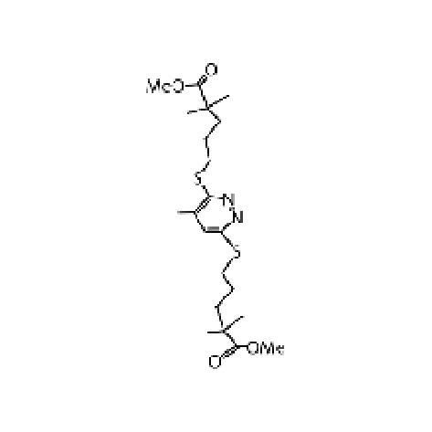 COC(=O)C(C)(C)CCCSc1cc(C)c(SCCCC(C)(C)C(=O)OC)nn1